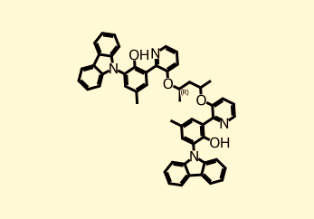 Cc1cc(-c2ncccc2OC(C)C[C@@H](C)Oc2cccnc2-c2cc(C)cc(-n3c4ccccc4c4ccccc43)c2O)c(O)c(-n2c3ccccc3c3ccccc32)c1